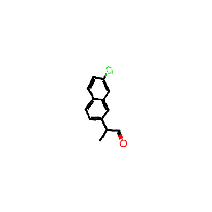 CC(C=O)c1ccc2ccc(Cl)cc2c1